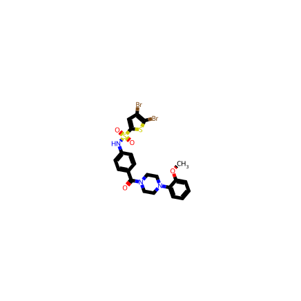 COc1ccccc1N1CCN(C(=O)c2ccc(NS(=O)(=O)c3cc(Br)c(Br)s3)cc2)CC1